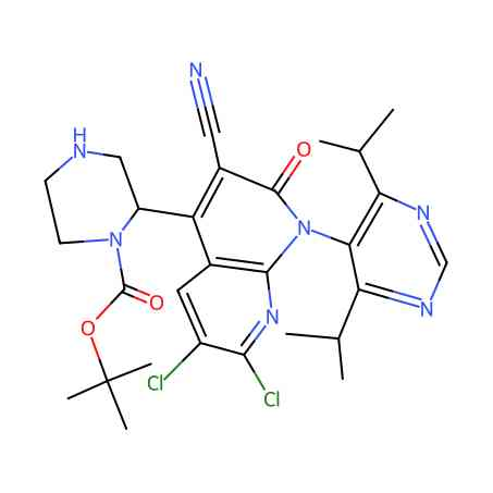 CC(C)c1ncnc(C(C)C)c1-n1c(=O)c(C#N)c(C2CNCCN2C(=O)OC(C)(C)C)c2cc(Cl)c(Cl)nc21